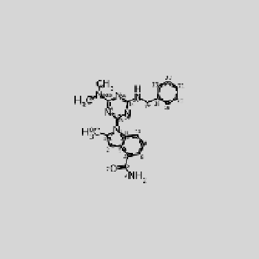 Cc1cc2c(C(N)=O)cccc2n1-c1nc(NCc2ccccc2)nc(N(C)C)n1